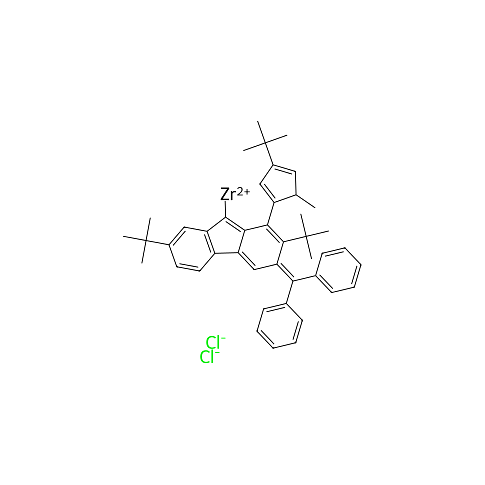 CC1C=C(C(C)(C)C)C=C1c1c(C(C)(C)C)c(=C(c2ccccc2)c2ccccc2)cc2c1=[C]([Zr+2])c1cc(C(C)(C)C)ccc1-2.[Cl-].[Cl-]